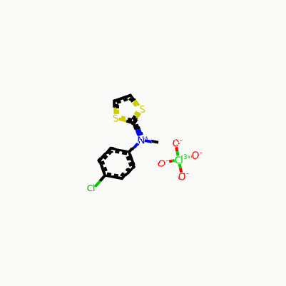 C[N+](c1ccc(Cl)cc1)=c1sccs1.[O-][Cl+3]([O-])([O-])[O-]